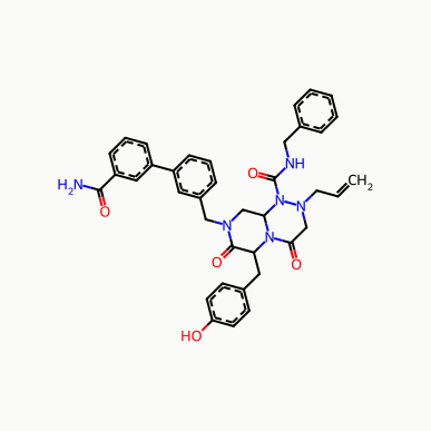 C=CCN1CC(=O)N2C(Cc3ccc(O)cc3)C(=O)N(Cc3cccc(-c4cccc(C(N)=O)c4)c3)CC2N1C(=O)NCc1ccccc1